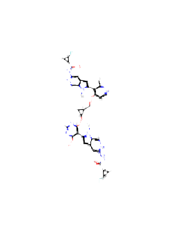 COc1ncnc(OC2CC2COc2ccnc(C)c2-c2cc3cc(NC(=O)[C@@H]4C[C@@H]4F)ncc3n2C)c1-c1cc2cc(NC(=O)[C@@H]3C[C@@H]3F)ncc2n1C